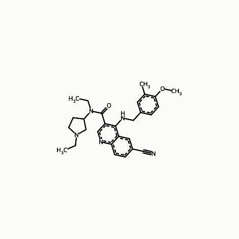 CCN1CCC(N(CC)C(=O)c2cnc3ccc(C#N)cc3c2NCc2ccc(OC)c(C)c2)C1